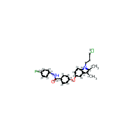 Cc1c(C)n(CCCCl)c2ccc(Oc3ccc(C(=O)Nc4ccc(F)cc4)cc3)cc12